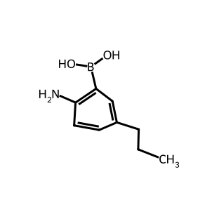 CCCc1ccc(N)c(B(O)O)c1